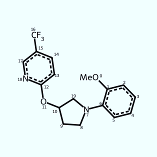 COc1ccccc1N1CCC(Oc2ccc(C(F)(F)F)cn2)C1